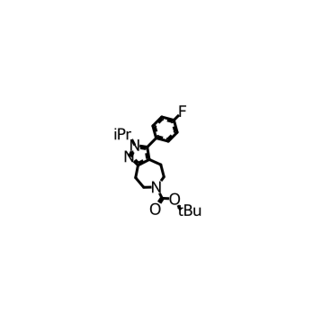 CC(C)n1nc2c(c1-c1ccc(F)cc1)CCN(C(=O)OC(C)(C)C)CC2